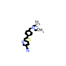 CCN(CC)Cc1ccc(-c2cc3ncc(C#N)cc3s2)cc1